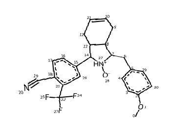 COc1ccc(CC2C3CC=CCC3C(c3ccc(C#N)c(C(F)(F)F)c3)[NH+]2[O-])cc1